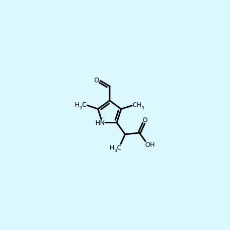 Cc1[nH]c(C(C)C(=O)O)c(C)c1C=O